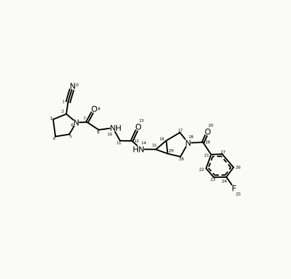 N#CC1CCCN1C(=O)CNCC(=O)NC1C2CN(C(=O)c3ccc(F)cc3)CC21